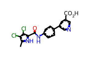 Cc1[nH]c(C(=O)Nc2ccc(-c3cncc(C(=O)O)c3)cc2)c(Cl)c1Cl